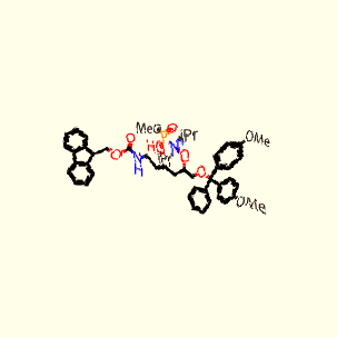 COc1ccc(C(OCC(CCCCNC(=O)OCC2c3ccccc3-c3ccccc32)O[N+](C(C)C)(C(C)C)P(=O)(O)OC)(c2ccccc2)c2ccc(OC)cc2)cc1